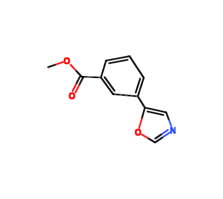 COC(=O)c1cccc(-c2cnco2)c1